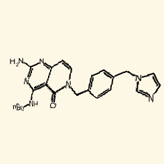 CCCCNc1nc(N)nc2ccn(Cc3ccc(Cn4ccnc4)cc3)c(=O)c12